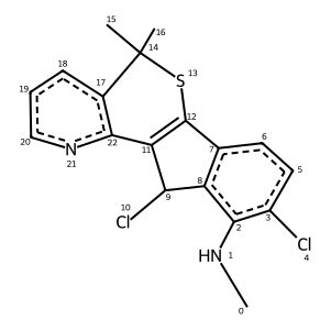 CNc1c(Cl)ccc2c1C(Cl)C1=C2SC(C)(C)c2cccnc21